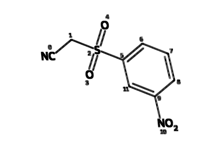 N#CCS(=O)(=O)c1cccc([N+](=O)[O-])c1